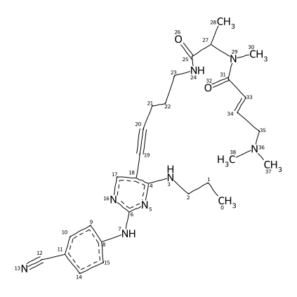 CCCNc1nc(Nc2ccc(C#N)cc2)ncc1C#CCCCNC(=O)C(C)N(C)C(=O)C=CCN(C)C